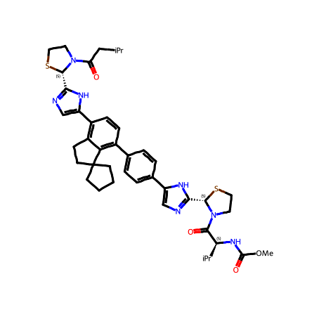 COC(=O)N[C@H](C(=O)N1CCS[C@H]1c1ncc(-c2ccc(-c3ccc(-c4cnc([C@@H]5SCCN5C(=O)CC(C)C)[nH]4)c4c3C3(CCCC3)CC4)cc2)[nH]1)C(C)C